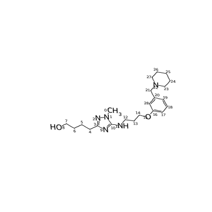 Cn1nc(CCCCO)nc1NCCCOc1cccc(CN2CCCCC2)c1